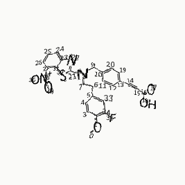 COc1ccc(CCN(Cc2ccc(C#CC(=O)O)cc2)c2nc3cccc([N+](=O)[O-])c3s2)cc1F